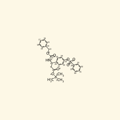 CC(C)(C)OC(=O)CC(NC(=O)OCc1ccccc1)c1ccc(OS(=O)(=O)c2ccccc2)cc1